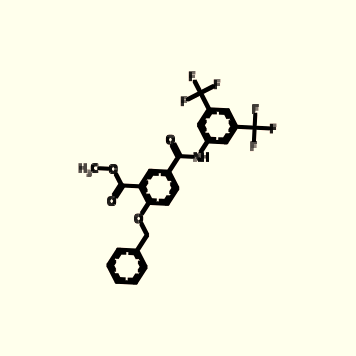 COC(=O)c1cc(C(=O)Nc2cc(C(F)(F)F)cc(C(F)(F)F)c2)ccc1OCc1ccccc1